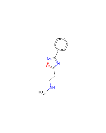 O=C(O)NCCc1nc(-c2ccccc2)no1